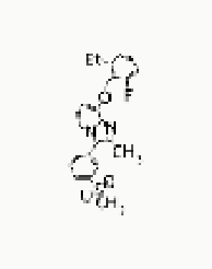 CCc1cccc(F)c1COc1cccn2c(-c3cccc(S(C)(=O)=O)c3)c(C)nc12